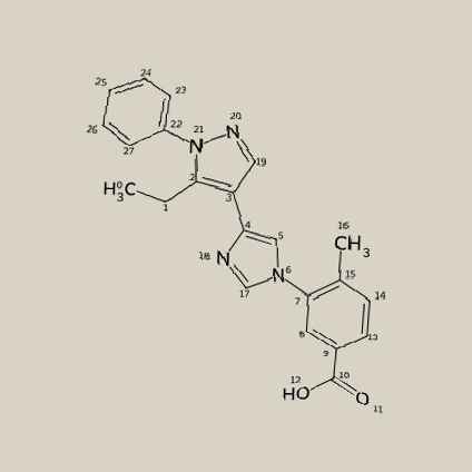 CCc1c(-c2cn(-c3cc(C(=O)O)ccc3C)cn2)cnn1-c1ccccc1